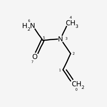 C=CCN(C)C(N)=O